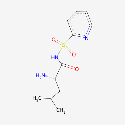 CC(C)C[C@H](N)C(=O)NS(=O)(=O)c1ccccn1